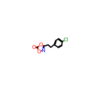 O=c1onc(CCc2ccc(Cl)cc2)o1